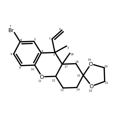 C=CC1(C)c2cc(Br)ccc2OC2CCC3(CC21C)OCCO3